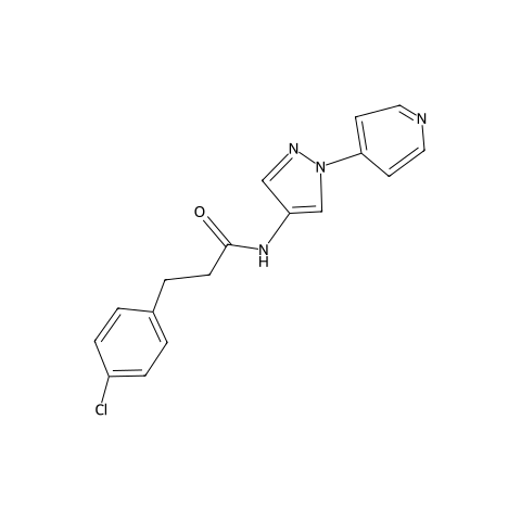 O=C(CCc1ccc(Cl)cc1)Nc1cnn(-c2ccncc2)c1